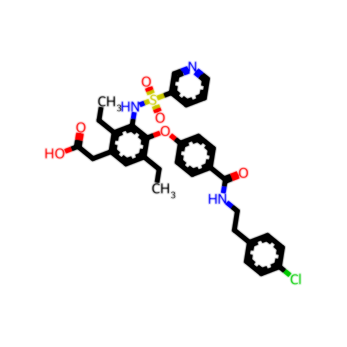 CCc1cc(CC(=O)O)c(CC)c(NS(=O)(=O)c2cccnc2)c1Oc1ccc(C(=O)NCCc2ccc(Cl)cc2)cc1